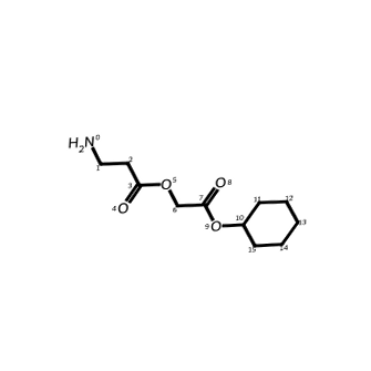 NCCC(=O)OCC(=O)OC1CCCCC1